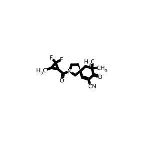 CC1C(C(=O)N2CC[C@@]3(C=C(C#N)C(=O)C(C)(C)C3)C2)C1(F)F